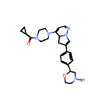 CCN1CCOC(c2ccc(C3=CN4N=CC=C(N5CCN(C(=O)C6CC6)CC5)C4C3)cc2)C1